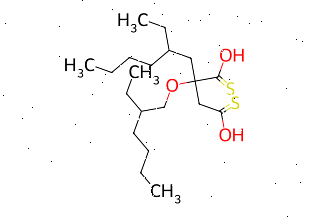 CCCCC(CC)COC(CC(O)=S)(CC(CC)CCCC)C(O)=S